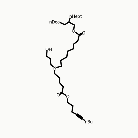 CCCCC#CCCCOC(=O)CCCCN(CCCO)CCCCCCCC(=O)OCC(CCCCCCC)CCCCCCCCCCC